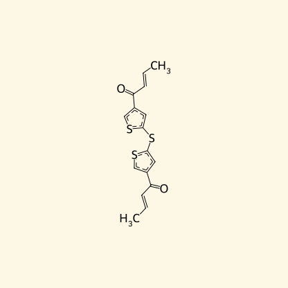 CC=CC(=O)c1csc(Sc2cc(C(=O)C=CC)cs2)c1